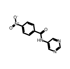 O=C(Nc1cncnc1)c1ccc([N+](=O)[O-])cc1